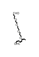 C\C=C/C(C=O)=C\C(=C/C)OCCCOCCCOCCOCCCC=O